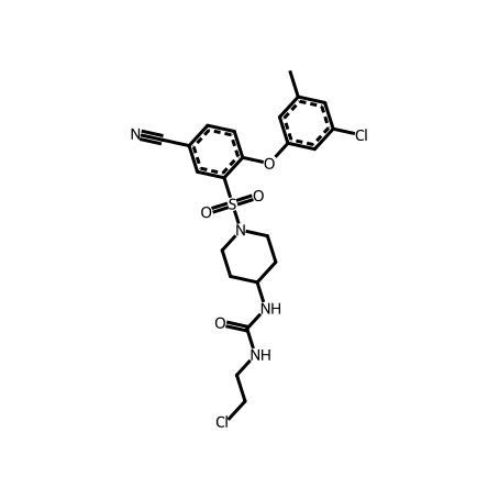 Cc1cc(Cl)cc(Oc2ccc(C#N)cc2S(=O)(=O)N2CCC(NC(=O)NCCCl)CC2)c1